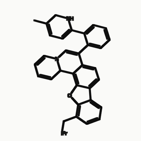 CC1=CC=C(c2ccccc2C2=CN3C=CC=CC3c3c2ccc2c3oc3c(CC(C)C)cccc32)NC1